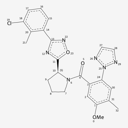 COc1cc(C(=O)N2CCC[C@H]2c2nc(-c3cccc(Cl)c3C)no2)c(-n2nccn2)cc1C